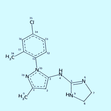 Cc1cc(NC2=NCCN2)n(-c2ccc(Cl)cc2C)n1